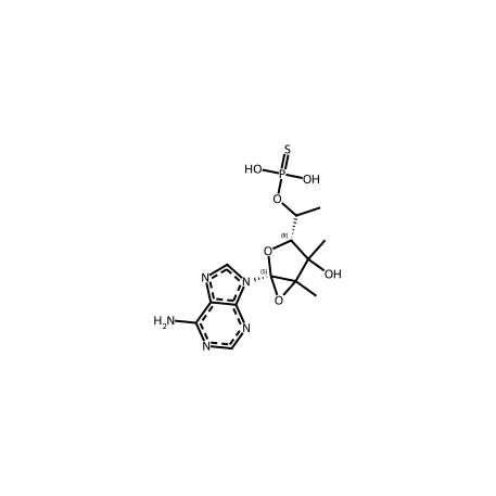 CC(OP(O)(O)=S)[C@H]1O[C@]2(n3cnc4c(N)ncnc43)OC2(C)C1(C)O